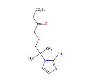 CCOC(=O)CC(=O)COCC(C)(C)n1ccnc1C